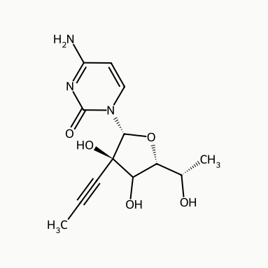 CC#C[C@@]1(O)C(O)[C@@H]([C@H](C)O)O[C@H]1n1ccc(N)nc1=O